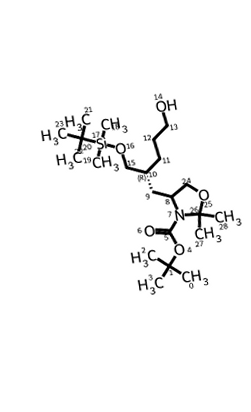 CC(C)(C)OC(=O)N1C(C[C@@H](CCCO)CO[Si](C)(C)C(C)(C)C)COC1(C)C